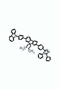 CCCC1(CCC)c2cc(-c3ccc(-c4nnc(-c5ccccc5)n4-c4ccccc4)cc3)ccc2-c2ccc(-c3ccc(-n4c5ccccc5c5ccccc54)cc3)cc21